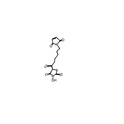 O=C(CCCCCN1C(=O)C=CC1=O)C1CC(=O)N(O)C1=O